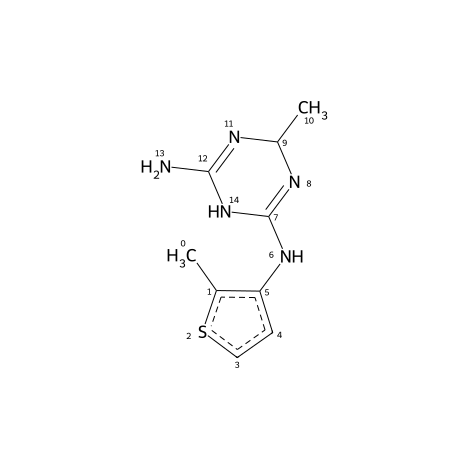 Cc1sccc1NC1=NC(C)N=C(N)N1